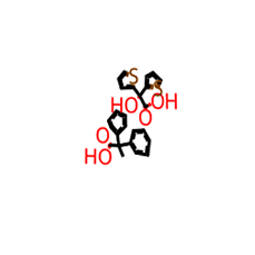 CC(C(=O)O)(c1ccccc1)c1ccccc1.O=C(O)C(O)(c1cccs1)c1cccs1